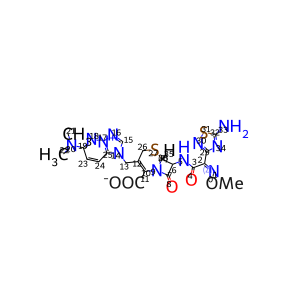 CO/N=C(\C(=O)NC1C(=O)N2C(C(=O)[O-])=C(Cn3cn[n+]4nc(N(C)C)ccc34)CS[C@H]12)c1nsc(N)n1